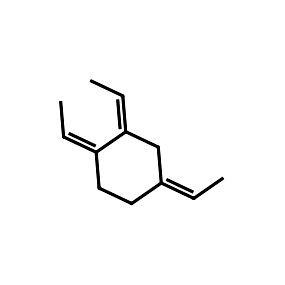 C/C=C1/CCC(=C/C)/C(=C\C)C1